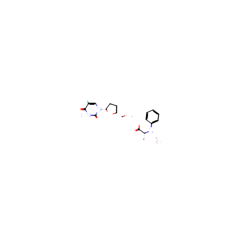 CC(C)ON(c1ccccc1)[C@@H](C)C(=O)OP(=O)(O)OC[C@H]1O[C@@H](n2cc(F)c(=O)[nH]c2=O)C[C@@H]1O